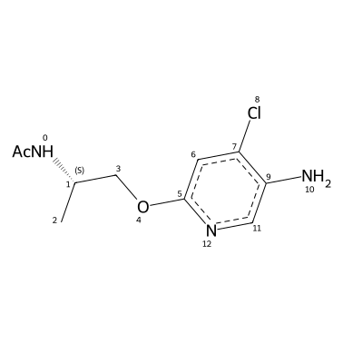 CC(=O)N[C@@H](C)COc1cc(Cl)c(N)cn1